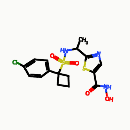 CC(NS(=O)(=O)C1(c2ccc(Cl)cc2)CCC1)c1ncc(C(=O)NO)s1